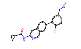 O=NCc1ccc(Cl)c(-c2ccc3cc(NC(=O)C4CC4)ncc3c2)c1